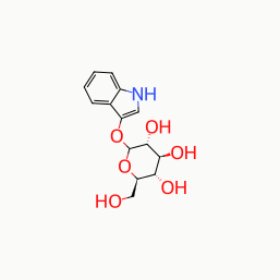 OC[C@H]1OC(Oc2c[nH]c3ccccc23)[C@H](O)[C@@H](O)[C@@H]1O